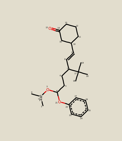 C[SiH](C)OC(CCC(C=CC1CCCC(=O)C1)C(C)(C)C)Oc1ccccc1